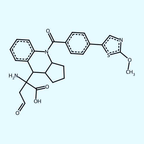 COc1ncc(-c2ccc(C(=O)N3c4ccccc4C(C(N)(CC=O)C(=O)O)C4CCCC43)cc2)s1